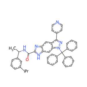 CC(C)c1cccc(C(C)NC(=O)c2nc3cc4c(-c5ccncc5)nn(C(c5ccccc5)(c5ccccc5)c5ccccc5)c4cc3[nH]2)c1